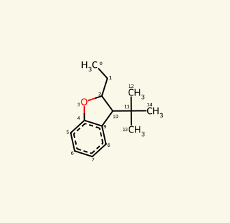 CCC1Oc2ccccc2C1C(C)(C)C